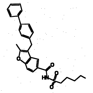 CCCCCS(=O)(=O)NC(=O)c1ccc2oc(C)c(Cc3ccc(-c4ccccc4)cc3)c2c1